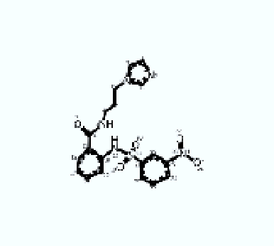 O=C(NCCCn1ccnc1)c1ccccc1NS(=O)(=O)c1cccc([N+](=O)[O-])c1